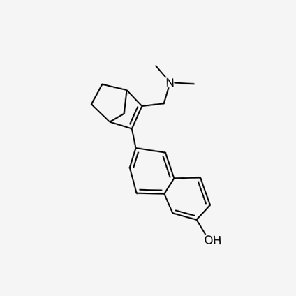 CN(C)CC1=C(c2ccc3cc(O)ccc3c2)C2CCC1C2